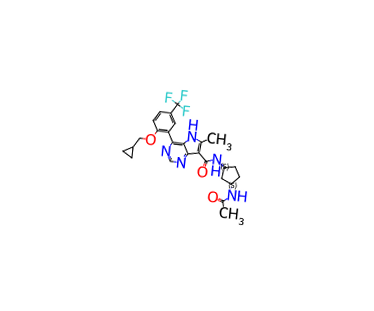 CC(=O)N[C@H]1CC[C@H](NC(=O)c2c(C)[nH]c3c(-c4cc(C(F)(F)F)ccc4OCC4CC4)ncnc23)C1